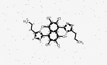 CCCc1nnc(-c2c(Cl)c(Cl)c(Cl)c3c(-c4nnc(CCC)s4)c(Cl)c(Cl)c(Cl)c23)s1